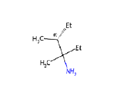 CC[C@@H](C)C(C)(N)CC